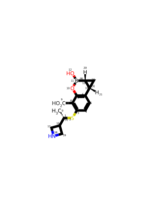 C[C@H](Sc1ccc2c(c1C(=O)O)OB(O)[C@@H]1C[C@H]21)C1CNC1